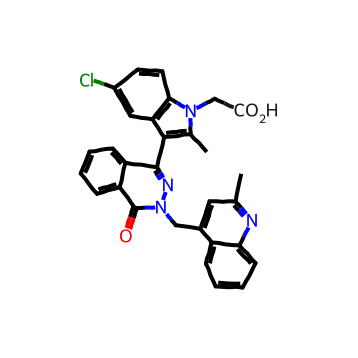 Cc1cc(Cn2nc(-c3c(C)n(CC(=O)O)c4ccc(Cl)cc34)c3ccccc3c2=O)c2ccccc2n1